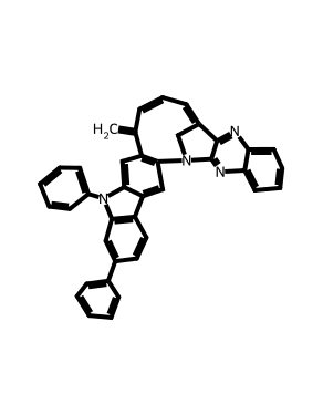 C=C1/C=C\C=C2/CN(c3cc4c5ccc(-c6ccccc6)cc5n(-c5ccccc5)c4cc31)c1nc3ccccc3nc12